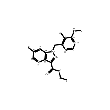 CCOC(=O)c1nn(Cc2ncnc(OC)c2C)c2nc(C)cnc12